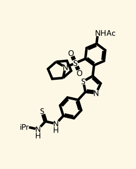 CC(=O)Nc1ccc(-c2cnc(-c3ccc(NC(=S)NC(C)C)cc3)s2)c(S(=O)(=O)N2C3CCC2CC3)c1